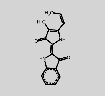 C/C=C\C1=C(C)C(=O)/C(=C2\Nc3ccccc3C2=O)N1